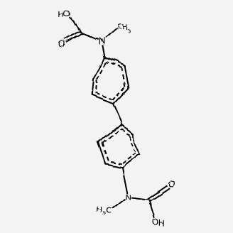 CN(C(=O)O)c1ccc(-c2ccc(N(C)C(=O)O)cc2)cc1